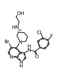 O=C(Nc1c[nH]c2ncc(Br)c(N3CCC[C@@H](NCCO)C3)c12)c1ccc(F)c(Cl)c1